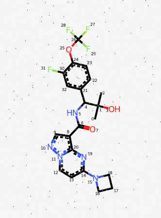 CC(C)(O)C(NC(=O)c1cnn2ccc(N3CCC3)nc12)c1ccc(OC(F)(F)F)c(F)c1